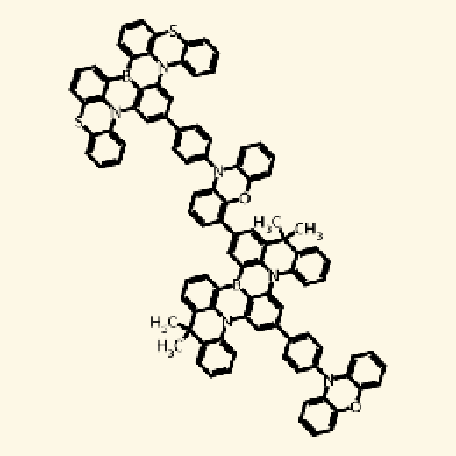 CC1(C)c2ccccc2N2c3cc(-c4ccc(N5c6ccccc6Oc6ccccc65)cc4)cc4c3B(c3cccc1c32)c1cc(-c2cccc3c2Oc2ccccc2N3c2ccc(-c3cc5c6c(c3)N3c7ccccc7Sc7cccc(c73)B6c3cccc6c3N5c3ccccc3S6)cc2)cc2c1N4c1ccccc1C2(C)C